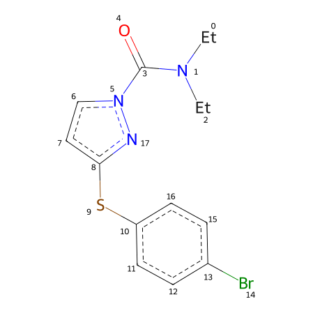 CCN(CC)C(=O)n1ccc(Sc2ccc(Br)cc2)n1